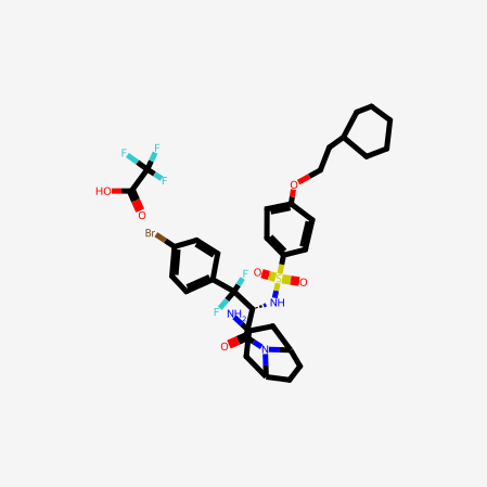 NC1CC2CCC(C1)N2C(=O)[C@@H](NS(=O)(=O)c1ccc(OCCC2CCCCC2)cc1)C(F)(F)c1ccc(Br)cc1.O=C(O)C(F)(F)F